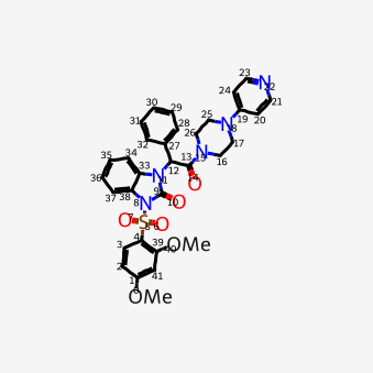 COc1ccc(S(=O)(=O)n2c(=O)n(C(C(=O)N3CCN(c4ccncc4)CC3)c3ccccc3)c3ccccc32)c(OC)c1